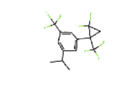 CC(C)c1cc(C(F)(F)F)cc(C2(C(F)(F)F)CC2(F)F)c1